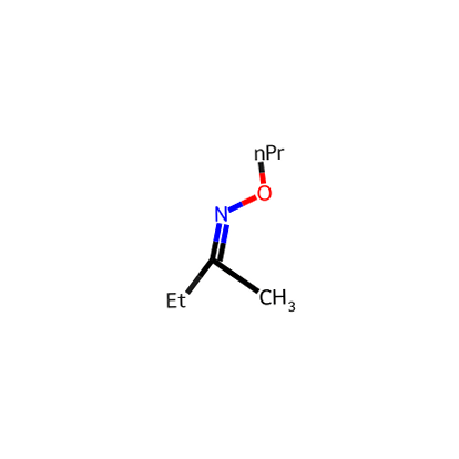 [CH2]CC(C)=NOCCC